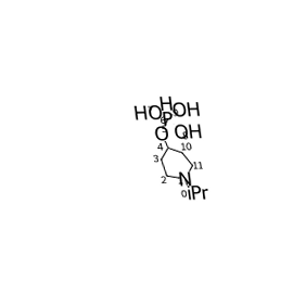 CC(C)N1CCC(O[PH](O)(O)O)CC1